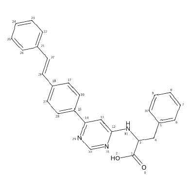 O=C(O)C(Cc1ccccc1)Nc1cc(-c2ccc(C=Cc3ccccc3)cc2)ncn1